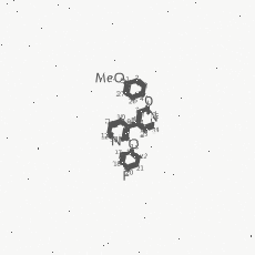 COc1ccc(Oc2cc(-c3[c]ccnc3Oc3ccc(F)cc3)ccn2)cc1